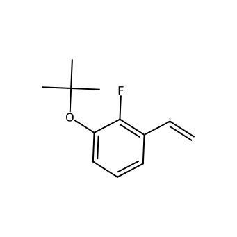 C=[C]c1cccc(OC(C)(C)C)c1F